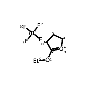 CCOC1=[O+]CCC1.F[B-](F)(F)F